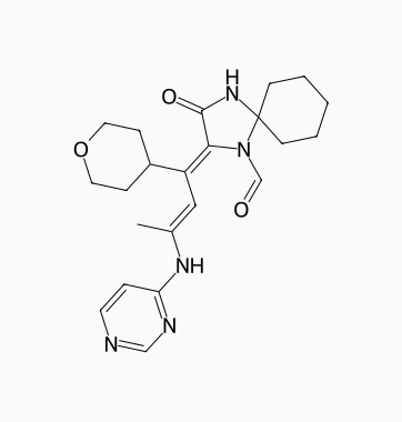 C/C(=C\C(=C1\C(=O)NC2(CCCCC2)N1C=O)C1CCOCC1)Nc1ccncn1